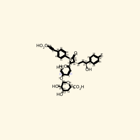 C=C(/C=C\C(=C/C)O[C@@H]1O[C@H](C(=O)O)C[C@H](O)[C@H]1O)[C@@H]1[C@@H](CC[C@H](O)c2ccc(F)cc2)C(=O)N1c1ccc(C#CC(=O)O)cc1